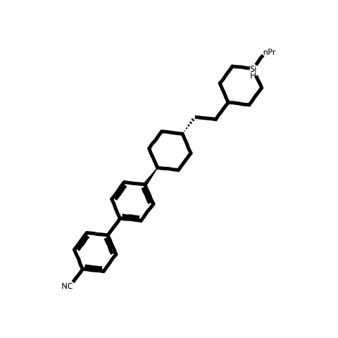 CCC[SiH]1CCC(CC[C@H]2CC[C@H](c3ccc(-c4ccc(C#N)cc4)cc3)CC2)CC1